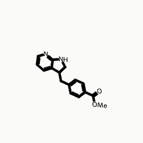 COC(=O)c1ccc(CC2CNc3ncccc32)cc1